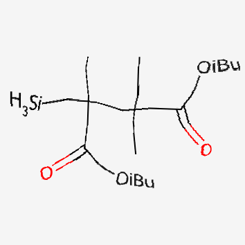 CC(C)COC(=O)C(C)(C)C(C)([SiH3])C(=O)OCC(C)C